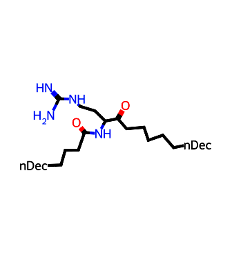 CCCCCCCCCCCCCCCC(=O)C(CCNC(=N)N)NC(=O)CCCCCCCCCCCCC